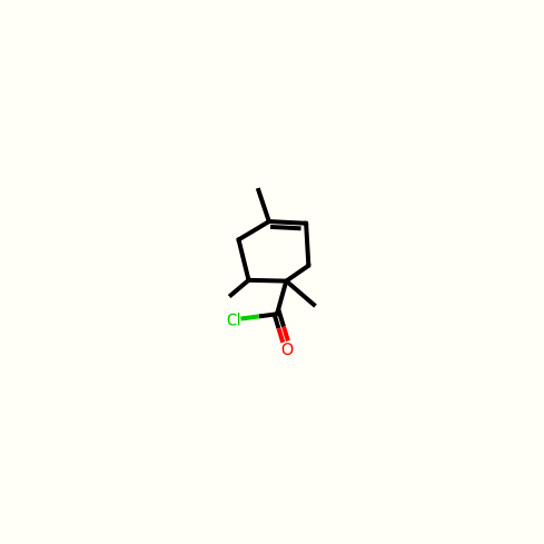 CC1=CCC(C)(C(=O)Cl)C(C)C1